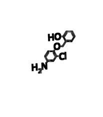 Nc1ccc(OCc2ccccc2O)c(Cl)c1